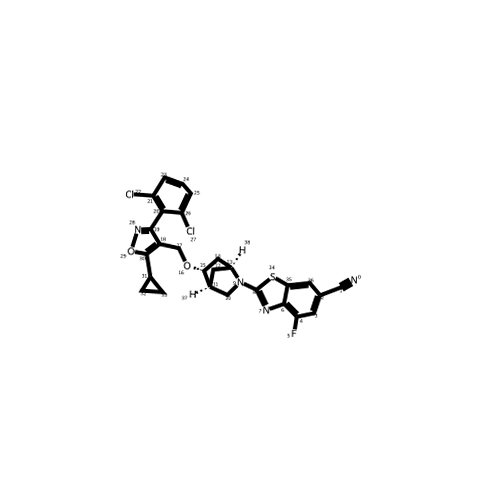 N#Cc1cc(F)c2nc(N3C[C@@H]4C[C@H]3C[C@H]4OCc3c(-c4c(Cl)cccc4Cl)noc3C3CC3)sc2c1